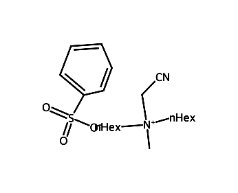 CCCCCC[N+](C)(CC#N)CCCCCC.O=S(=O)([O-])c1ccccc1